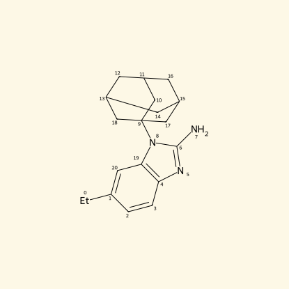 CCc1ccc2nc(N)n(C34CC5CC(CC(C5)C3)C4)c2c1